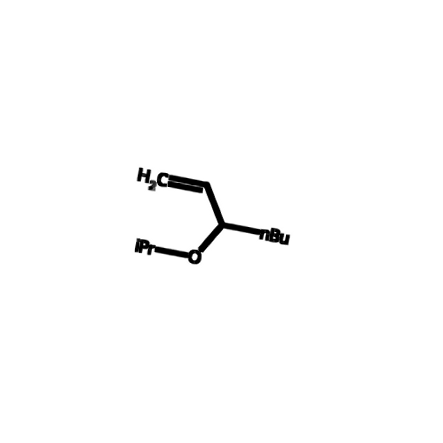 C=CC(CCCC)OC(C)C